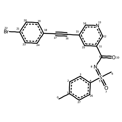 Cc1ccc(S(C)(=O)=NC(=O)c2cncc(C#Cc3ccc(Br)cc3)c2)cc1